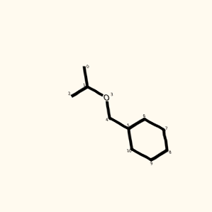 CC(C)O[CH]C1CCCCC1